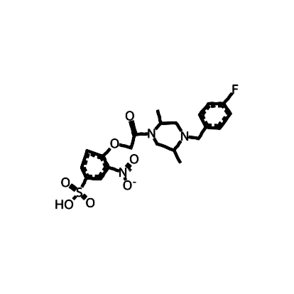 CC1CN(C(=O)COc2ccc(S(=O)(=O)O)cc2[N+](=O)[O-])C(C)CN1Cc1ccc(F)cc1